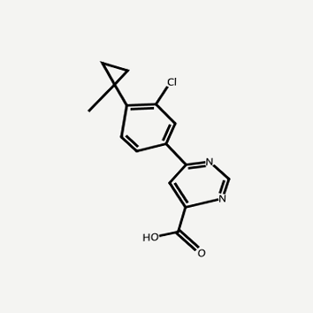 CC1(c2ccc(-c3cc(C(=O)O)ncn3)cc2Cl)CC1